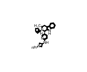 CCCN1CC(Nc2ccc([C@@H]3c4[nH]c5ccccc5c4C[C@@H](C)N3[C@@H]3CC4CC3C4)cn2)C1